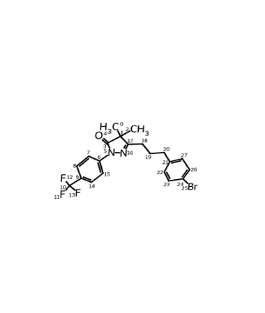 CC1(C)C(=O)N(c2ccc(C(F)(F)F)cc2)N=C1CCCc1ccc(Br)cc1